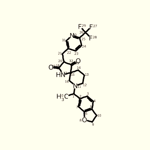 CC(c1ccc2c(c1)OCC2)N1CCCC2(C1)NC(=O)C(Cc1ccc(C(F)(F)F)nc1)C2=O